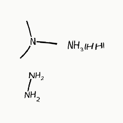 CN(C)C.I.I.N.NN